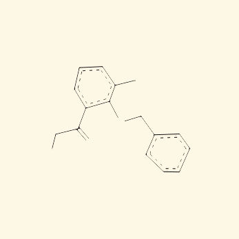 CCC(=O)c1cccc(F)c1OCc1ccccc1